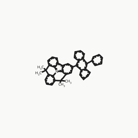 CC1(C)c2cccc3c2-n2c4c1cccc4c1cc(-c4c5ccccc5c(-c5ccccc5)c5ccccc45)cc(c12)C3(C)C